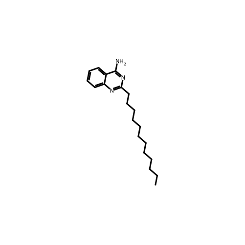 CCCCCCCCCCCCc1nc(N)c2ccccc2n1